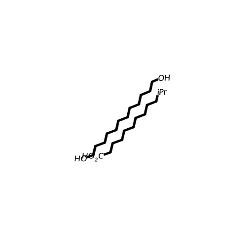 CC(C)CCCCCCCCCC(=O)O.OCCCCCCCCCCCCO